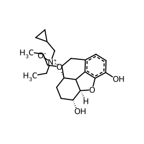 CCCO[C@@]12CC[C@@H](O)[C@@H]3Oc4c(O)ccc(c4C31)C[C@H]2[N+]([O-])(CC)CC1CC1